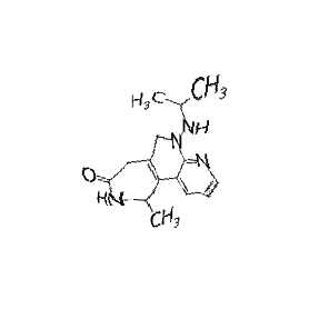 CC(C)NN1CC2=C(c3cccnc31)C(C)NC(=O)C2